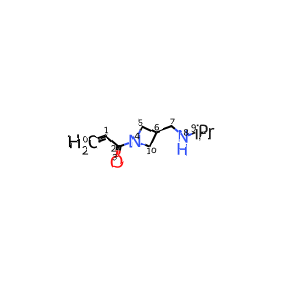 C=CC(=O)N1CC(CNC(C)C)C1